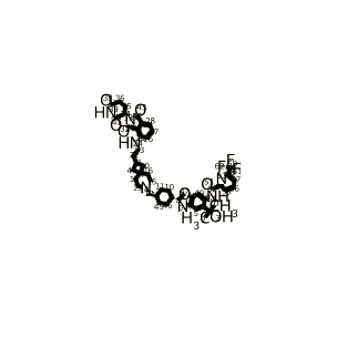 CC(C)(O)c1cc2nc([C@H]3CC[C@H](CN4CCC5(CC4)CC(CCNc4cccc6c4C(=O)N(C4CCC(=O)NC4=O)C6=O)C5)CC3)oc2cc1NC(=O)c1cccc(C(F)(F)F)n1